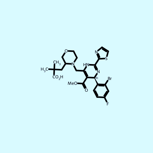 COC(=O)C1=C(CN2CCOCC2CC(C)(C)C(=O)O)NC(c2nccs2)=N[C@H]1c1ccc(F)cc1Br